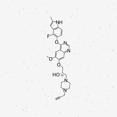 C#CCN1CCN(C[C@H](O)COc2cc3ncnc(Oc4ccc5[nH]c(C)cc5c4F)c3cc2OC)CC1